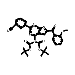 COc1ccccc1C(=O)c1cc2c(N(C(=O)OC(C)(C)C)C(=O)OC(C)(C)C)nc(-c3cccc(C#N)c3)nc2s1